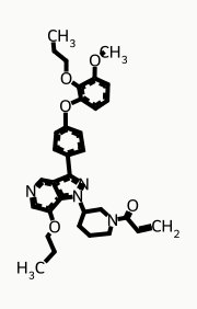 C=CC(=O)N1CCCC(n2nc(-c3ccc(Oc4cccc(OC)c4OCCC)cc3)c3cncc(OCCC)c32)C1